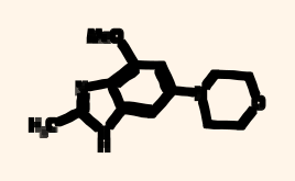 COc1cc(N2CCOCC2)cc2[nH]c(C)nc12